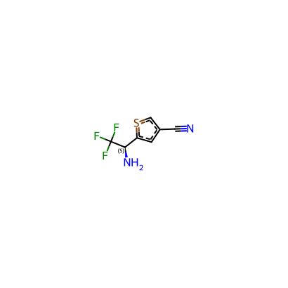 N#Cc1csc([C@@H](N)C(F)(F)F)c1